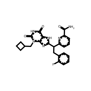 NC(=O)c1[c]ccc(C(Cc2ccccc2F)c2nc3c([nH]2)c(=O)[nH]c(=O)n3CC2CCC2)n1